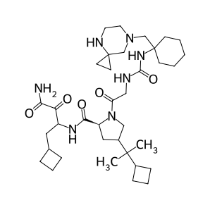 CC(C)(C1CCC1)C1C[C@@H](C(=O)NC(CC2CCC2)C(=O)C(N)=O)N(C(=O)CNC(=O)NC2(CN3CCNC4(CC4)C3)CCCCC2)C1